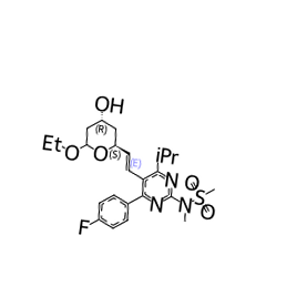 CCOC1C[C@H](O)C[C@@H](/C=C/c2c(-c3ccc(F)cc3)nc(N(C)S(C)(=O)=O)nc2C(C)C)O1